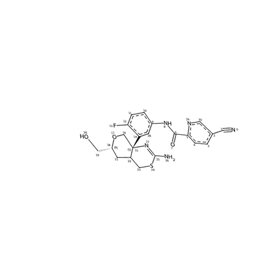 N#Cc1ccc(C(=O)Nc2ccc(F)c([C@]34CO[C@@H](CO)CC3CSC(N)=N4)c2)nc1